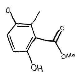 COC(=O)c1c(O)ccc(Cl)c1C